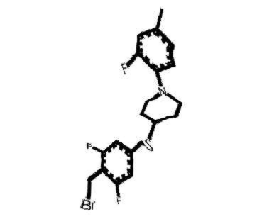 Cc1ccc(N2CCC(Sc3cc(F)c(CBr)c(F)c3)CC2)c(F)c1